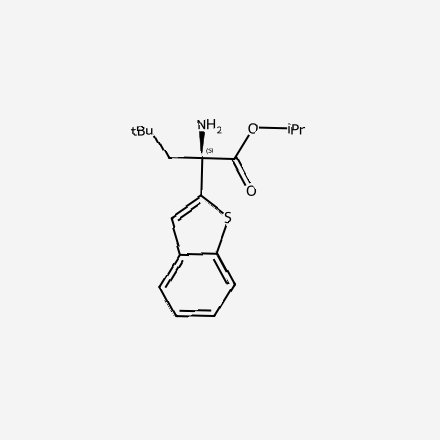 CC(C)OC(=O)[C@@](N)(CC(C)(C)C)c1cc2ccccc2s1